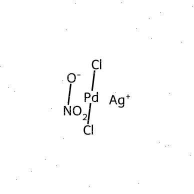 O=[N+]([O-])[O-].[Ag+].[Cl][Pd][Cl]